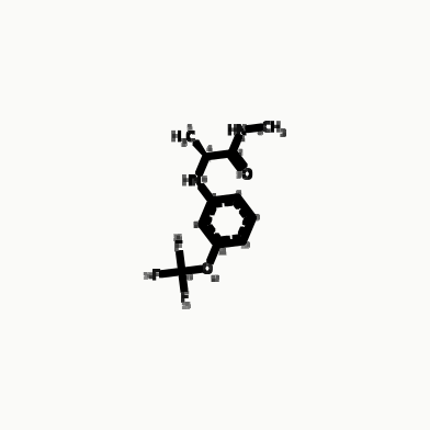 CNC(=O)[C@H](C)Nc1cccc(OC(F)(F)F)c1